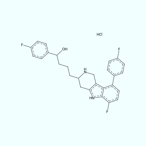 Cl.OC(CCCC1Cc2[nH]c3c(F)ccc(-c4ccc(F)cc4)c3c2CN1)c1ccc(F)cc1